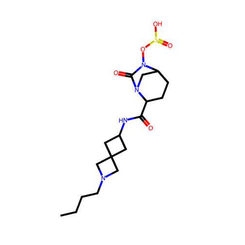 CCCCN1CC2(CC(NC(=O)C3CCC4CN3C(=O)N4OS(=O)O)C2)C1